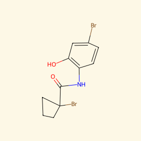 O=C(Nc1ccc(Br)cc1O)C1(Br)CCC1